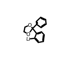 [Li][c]1ccccc1C1(c2ccccc2)OCCO1